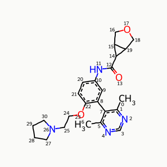 Cc1ncnc(C)c1-c1cc(NC(=O)C2C3COCC32)ccc1OCCN1CCCC1